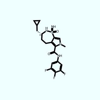 Cn1cc2c(c1C(=O)Nc1cc(F)c(F)c(F)c1)CC[C@H](CC1CC1)NS2(=N)=O